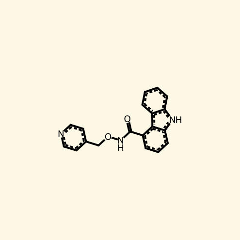 O=C(NOCc1ccncc1)c1cccc2[nH]c3ccccc3c12